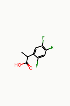 CC(C(=O)O)c1cc(F)c(Br)cc1F